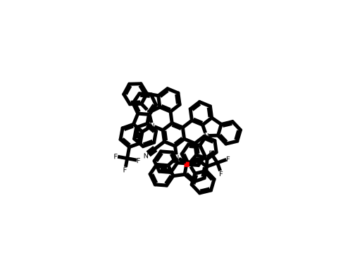 N#Cc1c(-n2c3ccccc3c3ccc(C(F)(F)F)cc32)c(-c2cccc3c4ccccc4n(-c4ccccc4)c23)c(-c2cccc3c4ccccc4n(-c4ccccc4)c23)c(-c2cccc3c4ccccc4n(-c4ccccc4)c23)c1-n1c2ccccc2c2ccc(C(F)(F)F)cc21